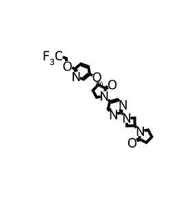 O=C1[C@H](Oc2ccc(OCC(F)(F)F)nc2)CCN1c1cnc(N2CC(N3CCCC3=O)C2)nc1